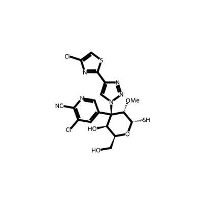 CO[C@@H]1[C@H](S)O[C@@H](CO)[C@@H](O)[C@@]1(c1cnc(C#N)c(Cl)c1)n1cc(-c2nc(Cl)cs2)nn1